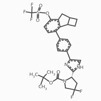 CC(C)(C)OC(=O)N1CC(F)(F)C[C@H]1c1nc(-c2ccc(-c3ccc(OS(=O)(=O)C(F)(F)F)c4c3C3CCC3C4)cc2)c[nH]1